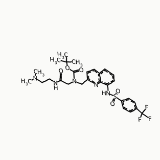 CN(C)CCNC(=O)CN(Cc1ccc2cccc(NS(=O)(=O)c3ccc(C(F)(F)F)cc3)c2n1)C(=O)OC(C)(C)C